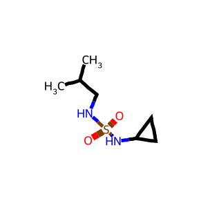 CC(C)CNS(=O)(=O)NC1CC1